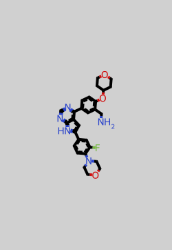 NCc1cc(-c2ncnc3[nH]c(-c4ccc(N5CCOCC5)c(F)c4)cc23)ccc1OC1CCOCC1